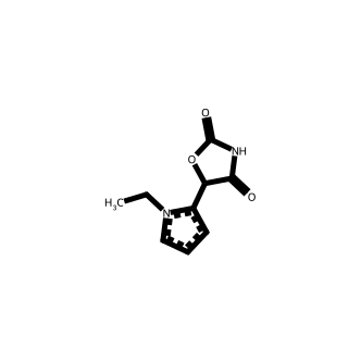 CCn1cccc1C1OC(=O)NC1=O